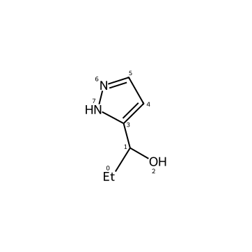 CCC(O)c1ccn[nH]1